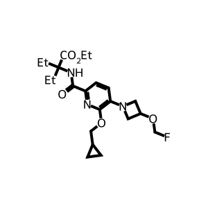 CCOC(=O)C(CC)(CC)NC(=O)c1ccc(N2CC(OCF)C2)c(OCC2CC2)n1